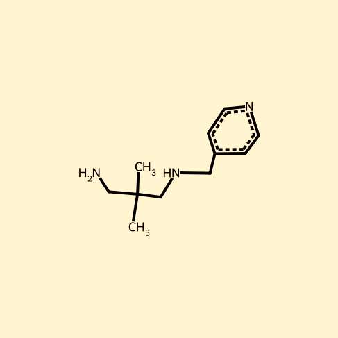 CC(C)(CN)CNCc1ccncc1